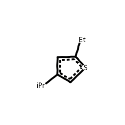 CCc1cc(C(C)C)cs1